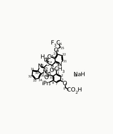 Cc1cc(OCC(=O)O)cc(C(C)C)c1S(=O)(=O)n1c([S+]([O-])Cc2nccc(OCC(F)(F)F)c2C)nc2ccccc21.[NaH]